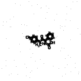 CN(C(=O)C(NC(=O)O)c1ccccc1)c1ccc(Cl)cc1